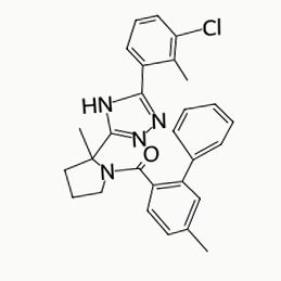 Cc1ccc(C(=O)N2CCCC2(C)c2nnc(-c3cccc(Cl)c3C)[nH]2)c(-c2ccccc2)c1